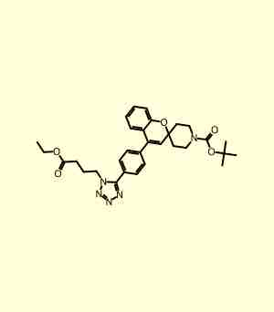 CCOC(=O)CCCn1nnnc1-c1ccc(C2=CC3(CCN(C(=O)OC(C)(C)C)CC3)Oc3ccccc32)cc1